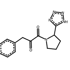 O=C(Cc1ccccc1)C(=O)N1CCCC1c1nnn[nH]1